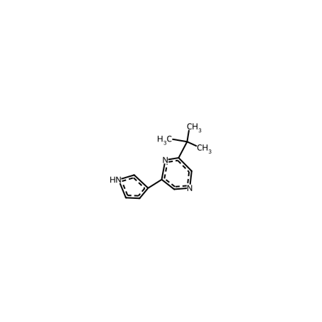 CC(C)(C)c1cncc(-c2cc[nH]c2)n1